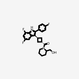 O=C([C@H]1C[C@H](c2c(-c3ccc(F)cc3)[nH]c3c(F)cc(F)cc32)C1)N1CCCCC1CO